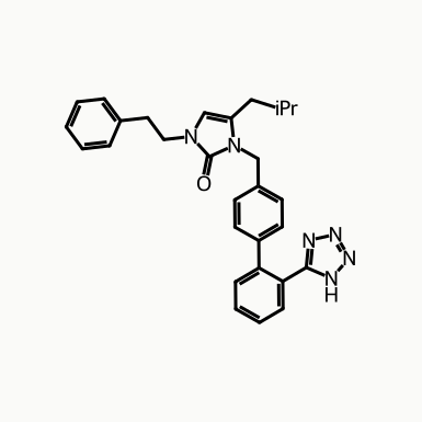 CC(C)Cc1cn(CCc2ccccc2)c(=O)n1Cc1ccc(-c2ccccc2-c2nnn[nH]2)cc1